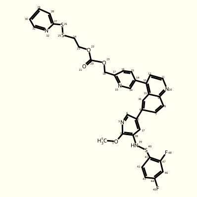 COc1ncc(-c2ccc3nccc(-c4ccc(COC(=O)OCCSSc5ccccn5)nc4)c3c2)cc1NSc1ccc(F)cc1F